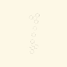 O=c1c2ccccc2c2cccc3c4cc(-c5ccc(-c6ccc(-c7ccc8c9ccccc9c9ccccc9c8c7)cc6)cc5)ccc4n1c23